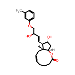 O=C1CCCC=CC[C@@H]2[C@@H](C=CC(O)COc3cccc(C(F)(F)F)c3)[C@H](O)C[C@@H]2O1